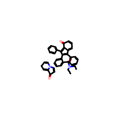 CCN(CC)C(=O)c1ccccc1C1=C(c2ccccc2)C2=CC=CC(=O)C2=C1c1ccccc1.O=C1C=CN2C=CCC=C12